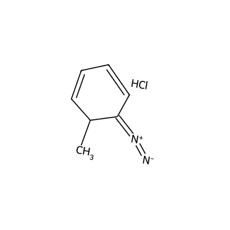 CC1C=CC=CC1=[N+]=[N-].Cl